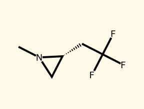 CN1C[C@H]1CC(F)(F)F